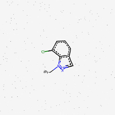 CC(C)n1ncc2cccc(Cl)c21